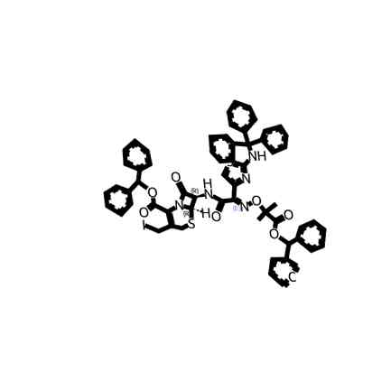 CC(C)(O/N=C(/C(=O)N[C@@H]1C(=O)N2C(C(=O)OC(c3ccccc3)c3ccccc3)=C(CI)CS[C@H]12)c1csc(NC(c2ccccc2)(c2ccccc2)c2ccccc2)n1)C(=O)OC(c1ccccc1)c1ccccc1